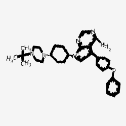 CC(C)(C)N1CCN([C@H]2CC[C@H](n3cc(-c4ccc(Oc5ccccc5)cc4)c4c(N)ncnc43)CC2)CC1